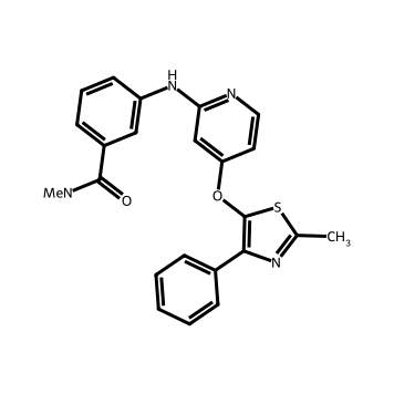 CNC(=O)c1cccc(Nc2cc(Oc3sc(C)nc3-c3ccccc3)ccn2)c1